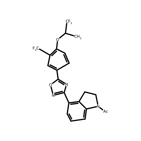 CC(=O)N1CCc2c(-c3noc(-c4ccc(OC(C)C(F)(F)F)c(C(F)(F)F)c4)n3)cccc21